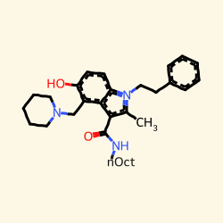 CCCCCCCCNC(=O)c1c(C)n(CCc2ccccc2)c2ccc(O)c(CN3CCCCC3)c12